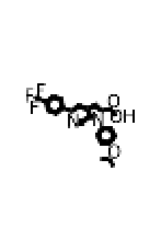 CC(C)Oc1ccc(-n2c(C(=O)O)cc3cc(-c4ccc(C(F)(F)F)cc4)ncc32)cc1